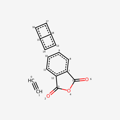 C#C.O=C1OC(=O)c2ccccc21.c1cc2ccc1-2